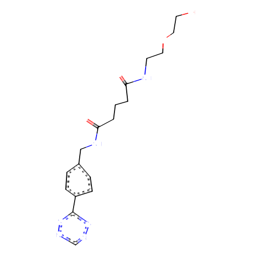 O=C(CCCC(=O)NCc1ccc(-c2nncnn2)cc1)NCCOCCO